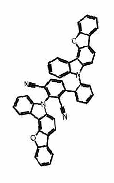 N#Cc1ccc(-c2ccccc2-n2c3ccccc3c3c4oc5ccccc5c4ccc32)c(C#N)c1-n1c2ccccc2c2c3oc4ccccc4c3ccc21